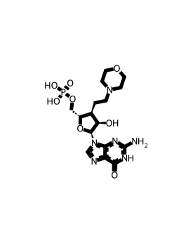 Nc1nc2c(ncn2[C@@H]2O[C@H](COP(=O)(O)O)[C@@H](CCN3CCOCC3)[C@H]2O)c(=O)[nH]1